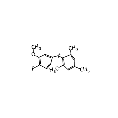 COc1cc([I+]c2c(C)cc(C)cc2C)ccc1F